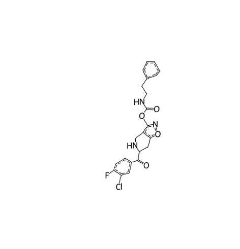 O=C(NCCc1ccccc1)Oc1noc2c1CNC(C(=O)c1ccc(F)c(Cl)c1)C2